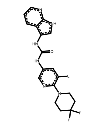 O=C(Nc1cnc(N2CCC(F)(F)CC2)c(Cl)c1)Nc1c[nH]c2ncccc12